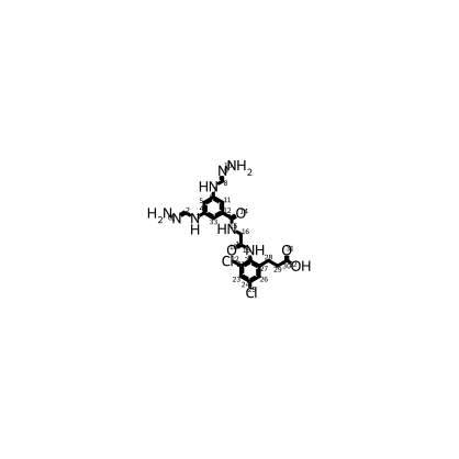 NN=CNc1cc(NC=NN)cc(C(=O)NCC(=O)Nc2c(Cl)cc(Cl)cc2CCC(=O)O)c1